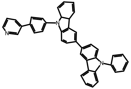 C1=CC2c3cc(-c4ccc5c(c4)c4ccccc4n5-c4ccccc4)ccc3N(c3ccc(-c4cccnc4)cc3)C2C=C1